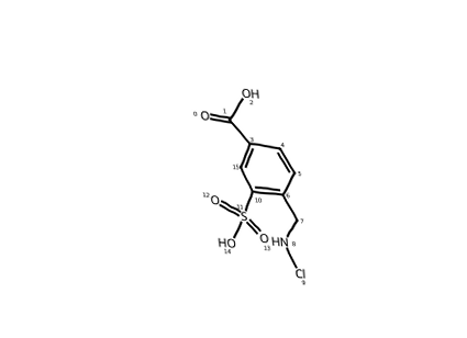 O=C(O)c1ccc(CNCl)c(S(=O)(=O)O)c1